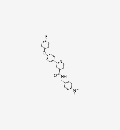 CN(C)c1ccc(CNC(=O)c2ccnc(-c3ccc(Oc4ccc(F)cc4)cc3)c2)cc1